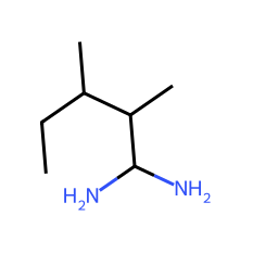 CCC(C)C(C)C(N)N